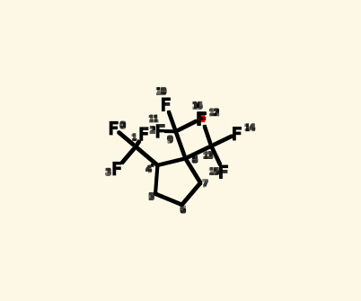 FC(F)(F)[C]1CCCC1(C(F)(F)F)C(F)(F)F